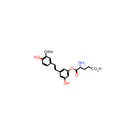 COc1cc(/C=C/c2cc(O)cc(OC(=O)[C@@H](N)CCC(=O)O)c2)ccc1O